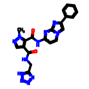 Cn1ncc(C(=O)NCc2nnn[nH]2)c1C(=O)Nc1ccn2cc(-c3ccccc3)nc2n1